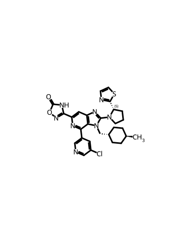 C[C@H]1CC[C@H](Cn2c(N3CCC[C@H]3c3nccs3)nc3cc(-c4noc(=O)[nH]4)nc(-c4cncc(Cl)c4)c32)CC1